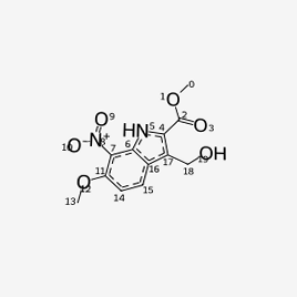 COC(=O)c1[nH]c2c([N+](=O)[O-])c(OC)ccc2c1CO